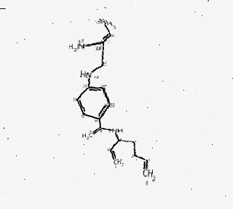 C=CCCC(C=C)NC(=C)c1ccc(NC/C(N)=C/N)cc1